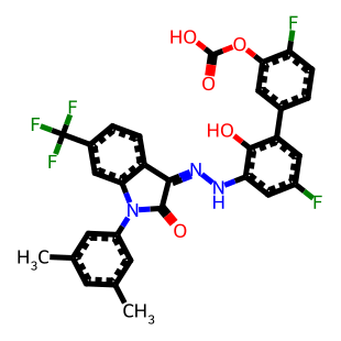 Cc1cc(C)cc(N2C(=O)C(=NNc3cc(F)cc(-c4ccc(F)c(OC(=O)O)c4)c3O)c3ccc(C(F)(F)F)cc32)c1